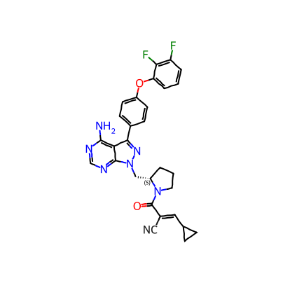 N#CC(=CC1CC1)C(=O)N1CCC[C@H]1Cn1nc(-c2ccc(Oc3cccc(F)c3F)cc2)c2c(N)ncnc21